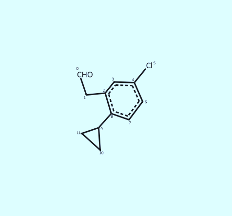 O=CCc1cc(Cl)ccc1C1CC1